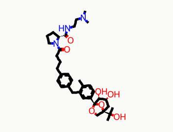 Cc1ccc([C@@]23OC[C@@](C(C)(C)O)(C[C@H](O)[C@H]2O)O3)cc1Cc1ccc(CCCC(=O)N2CCC[C@@H]2C(=O)NCCN(C)C)cc1